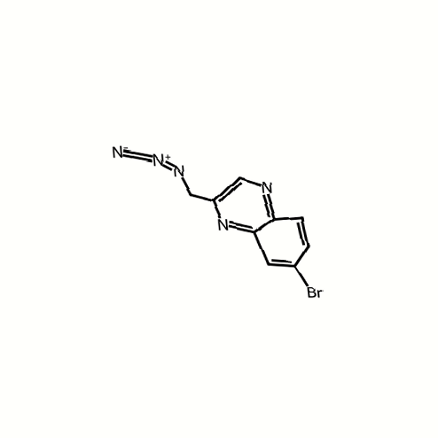 [N-]=[N+]=NCc1cnc2ccc(Br)cc2n1